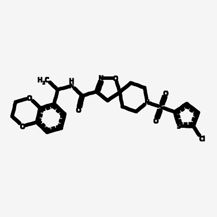 CC(NC(=O)C1=NOC2(CCN(S(=O)(=O)c3ccc(Cl)s3)CC2)C1)c1cccc2c1OCCO2